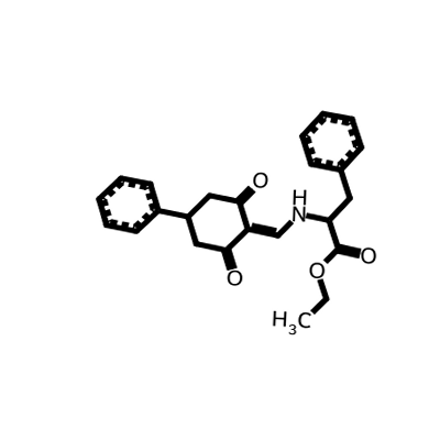 CCOC(=O)C(Cc1ccccc1)NC=C1C(=O)CC(c2ccccc2)CC1=O